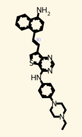 CCN1CCN(c2ccc(Nc3ncnc4c(/C=C/c5ccc(N)c6ccccc56)csc34)cc2)CC1